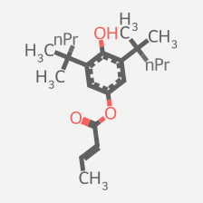 C/C=C/C(=O)Oc1cc(C(C)(C)CCC)c(O)c(C(C)(C)CCC)c1